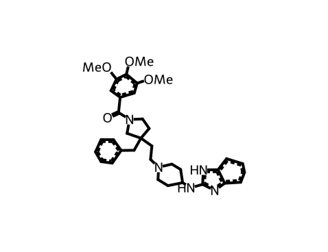 COc1cc(C(=O)N2CCC(CCN3CCC(Nc4nc5ccccc5[nH]4)CC3)(Cc3ccccc3)C2)cc(OC)c1OC